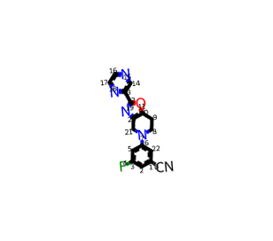 N#Cc1cc(F)cc(N2CCc3oc(-c4cnccn4)nc3C2)c1